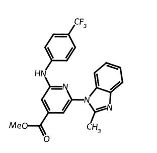 COC(=O)c1cc(Nc2ccc(C(F)(F)F)cc2)nc(-n2c(C)nc3ccccc32)c1